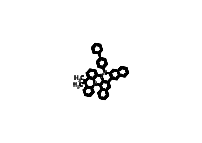 CC1(C)c2ccccc2N2c3c(cccc31)B1c3c(cc4ccccc4c32)-c2cc3ccccc3cc2N1c1ccc(-c2ccccc2)cc1